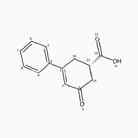 O=C1C=C(c2ccccc2)C[C@H](C(=O)O)C1